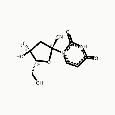 C[C@]1(O)C[C@](C#N)(n2ccc(=O)[nH]c2=O)O[C@@H]1CO